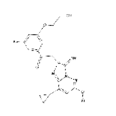 CCOc1cc(C2CC2)c2nn(CC(=O)c3cc(OCCO)cc(C(C)(C)C)c3)c(=N)n2n1